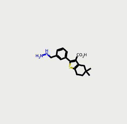 CC1(C)CCc2sc(-c3cccc(CNN)c3)c(C(=O)O)c2C1